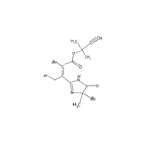 C#CC(C)(C)OC(=O)/C(=C(/CC(C)C)C1=NC(C)(C(C)CC)C(=O)N1)C(C)CC